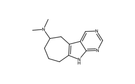 CN(C)C1CCCc2[nH]c3ncncc3c2C1